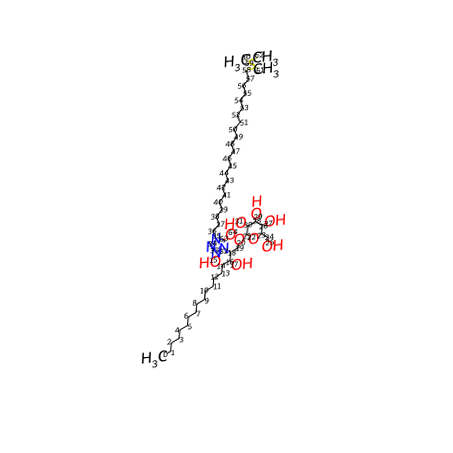 CCCCCCCCCCCCCC[C@@H](O)[C@@H](O)[C@H](COC1OC(CO)C(O)C(O)C1O)n1nnn(CCCCCCCCCCCCCCCCCCCCCCCS(C)(C)C)c1=O